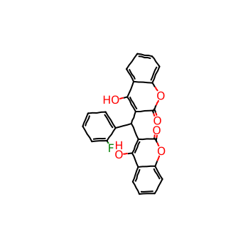 O=c1oc2ccccc2c(O)c1C(c1ccccc1F)c1c(O)c2ccccc2oc1=O